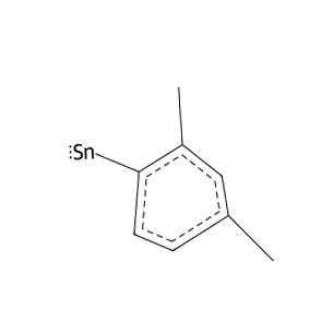 Cc1cc[c]([Sn])c(C)c1